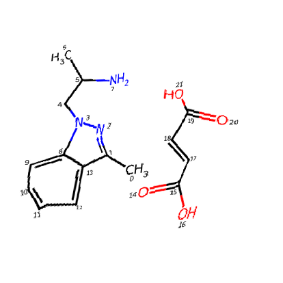 Cc1nn(CC(C)N)c2ccccc12.O=C(O)C=CC(=O)O